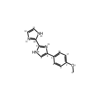 COc1ccc(-c2c[nH]c(-c3ncc[nH]3)n2)cc1